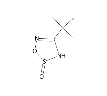 CC(C)(C)C1=NOS(=O)N1